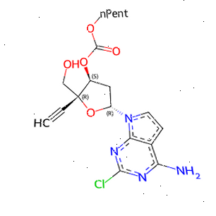 C#C[C@]1(CO)O[C@@H](n2ccc3c(N)nc(Cl)nc32)C[C@@H]1OC(=O)OCCCCC